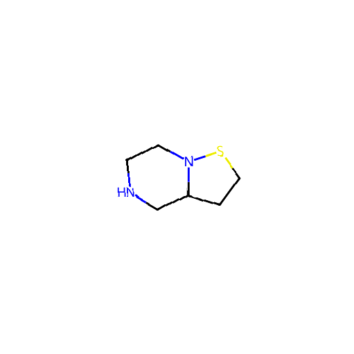 C1CN2SCCC2CN1